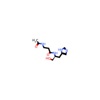 CC(=O)NCCC(=O)N[C@H](CO)Cc1cnc[nH]1